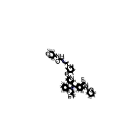 O=C(/C=C/CN1CCC[C@@H](Oc2ccc(/C(=C(/CC(F)(F)F)c3ccccc3)c3ccc4c(c3)c(F)nn4C3CCCCO3)cn2)C1)NC1CCOCC1